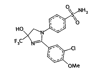 COc1ccc(C2=NC(O)(C(F)(F)F)CN2c2ccc(S(N)(=O)=O)cc2)cc1Cl